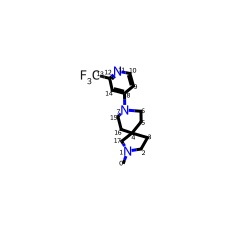 CN1CCC2(CCN(c3ccnc(C(F)(F)F)c3)CC2)C1